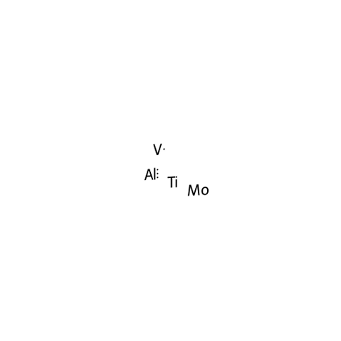 [Al].[Mo].[Ti].[V]